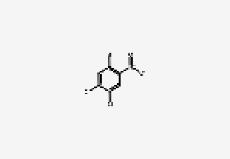 O=[N+]([O-])c1cc(Cl)c(Cl)cc1Br